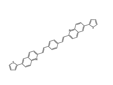 C(=C\c1ccc2cc(-c3cccs3)ccc2n1)/c1ccc(/C=C/c2ccc3cc(-c4cccs4)ccc3n2)cc1